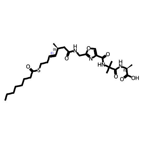 CCCCCCCC(=O)SCC/C=C/[C@@H](C)CC(=O)NCc1nc(C(=O)NC(C)(C)C(=O)N[C@@H](C)C(=O)O)co1